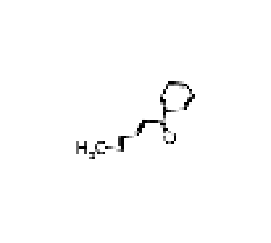 CC=CC=CC(=O)c1ccccc1